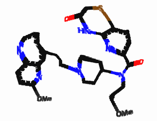 COCCN(C(=O)c1ccc2c(n1)NC(=O)CS2)C1CCN(CCc2ccnc3ccc(OC)nc23)CC1